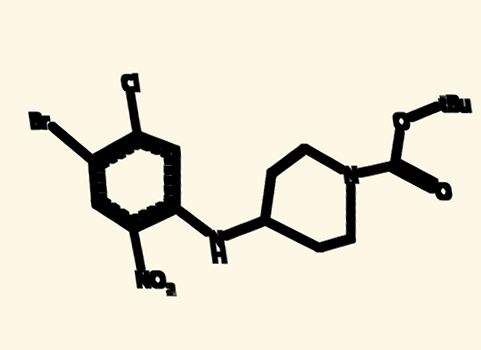 CC(C)(C)OC(=O)N1CCC(Nc2cc(Cl)c(Br)cc2[N+](=O)[O-])CC1